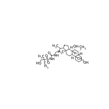 CC[C@H]1[C@@H](O)[C@@H]2[C@H](CC[C@]3(C)[C@@H]([C@H](C)CCNC(=O)NS(=O)(=O)C(C)(C)CO)CC[C@@H]23)[C@@]2(C)CC[C@@H](O)C[C@@H]12